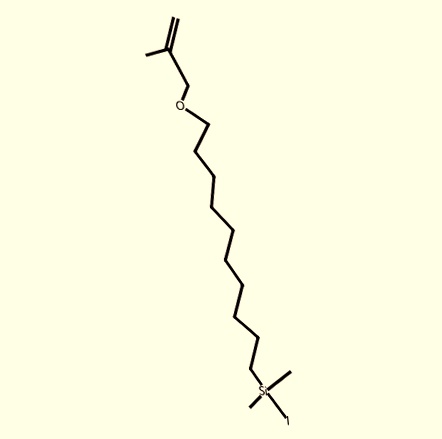 C=C(C)COCCCCCCCCCC[Si](C)(C)I